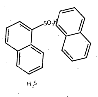 O=S(=O)(O)c1cccc2ccccc12.S.c1ccc2ccccc2c1